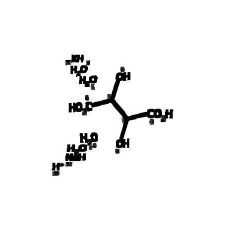 O.O.O.O.O=C(O)C(O)C(O)C(=O)O.[H+].[KH].[NaH]